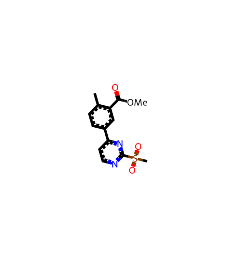 COC(=O)c1cc(-c2ccnc(S(C)(=O)=O)n2)ccc1C